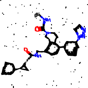 CC(C)(C)NC(=O)N1CCc2c(-c3cccc(-n4ccnn4)c3)ccc(CNC(=O)[C@@H]3C[C@H]3c3ccccc3)c2C1